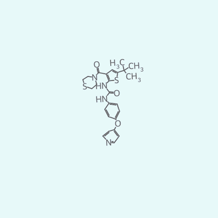 CC(C)(C)c1cc(C(=O)N2CCSCC2)c(NC(=O)Nc2ccc(Oc3ccncc3)cc2)s1